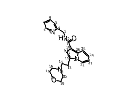 O=C(NCc1ccccn1)c1nc(CCN2CCOCC2)n2ccccc12